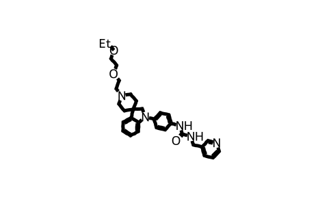 CCOCCOCCN1CCC2(CC1)CN(c1ccc(NC(=O)NCc3cccnc3)cc1)c1ccccc12